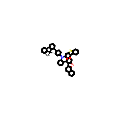 CC1(C)c2ccccc2-c2cccc(-c3ccc(N(c4ccc5c(c4)sc4ccccc45)c4ccccc4-c4cccc5oc6c7ccccc7ccc6c45)cc3)c21